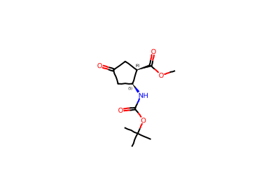 COC(=O)[C@@H]1CC(=O)C[C@@H]1NC(=O)OC(C)(C)C